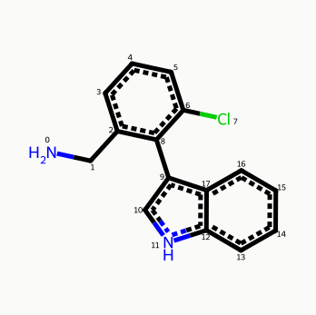 NCc1cccc(Cl)c1-c1c[nH]c2ccccc12